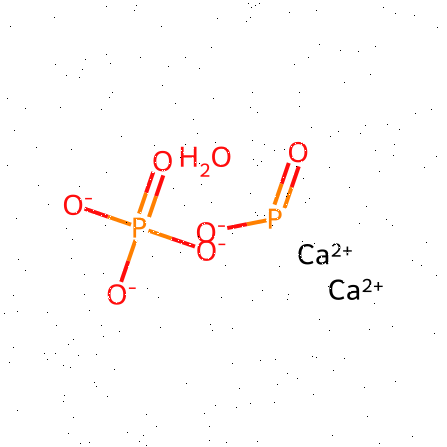 O.O=P([O-])([O-])[O-].O=P[O-].[Ca+2].[Ca+2]